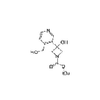 CC(C)(C)OC(=O)N1CC(O)(c2cnccc2CO)C1